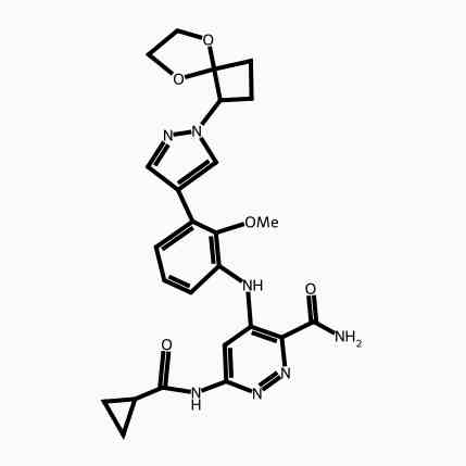 COc1c(Nc2cc(NC(=O)C3CC3)nnc2C(N)=O)cccc1-c1cnn(C2CCC23OCCO3)c1